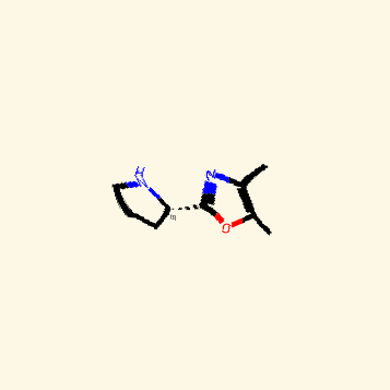 Cc1nc([C@@H]2CCCN2)oc1C